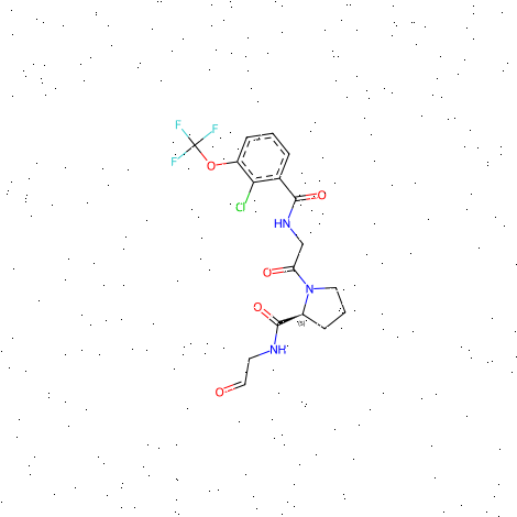 O=CCNC(=O)[C@@H]1CCCN1C(=O)CNC(=O)c1cccc(OC(F)(F)F)c1Cl